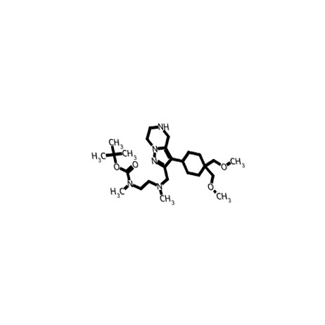 COCC1(COC)CCC(c2c(CN(C)CCN(C)C(=O)OC(C)(C)C)nn3c2CNCC3)CC1